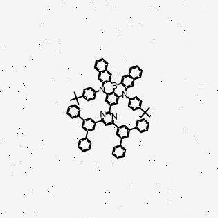 CC(C)(C)c1ccc(N2c3cc4ccccc4cc3B3c4cc5ccccc5cc4N(c4ccc(C(C)(C)C)cc4)c4cc(-c5nc(-c6cc(-c7ccccc7)cc(-c7ccccc7)c6)cc(-c6cc(-c7ccccc7)cc(-c7ccccc7)c6)n5)cc2c43)cc1